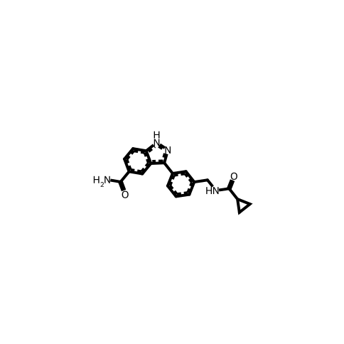 NC(=O)c1ccc2[nH]nc(-c3cccc(CNC(=O)C4CC4)c3)c2c1